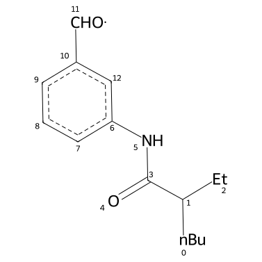 CCCCC(CC)C(=O)Nc1cccc([C]=O)c1